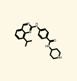 CC(C)c1cccc2cnc(Nc3ccc(C(=O)NC4CCNCC4)cc3)nc12